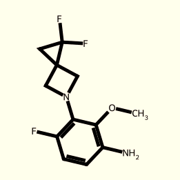 COc1c(N)ccc(F)c1N1CC2(C1)CC2(F)F